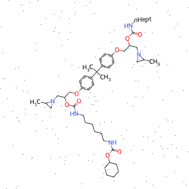 CCCCCCCNC(=O)OC(COc1ccc(C(C)(C)c2ccc(OCC(CN3CC3C)OC(=O)NCCCCCCNC(=O)OC3CCCCC3)cc2)cc1)CN1CC1C